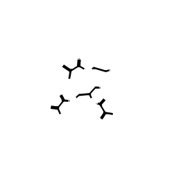 C=C(C)C(=O)OCC(CO)OC(=O)C(=C)C.C=C(C)C(=O)OCCO